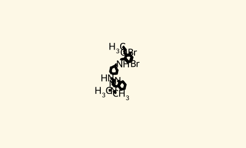 CCOc1c(Br)cc(Br)cc1CNCC1CCC(Nc2nc3c(c(N(C)C)n2)CCCC3)CC1